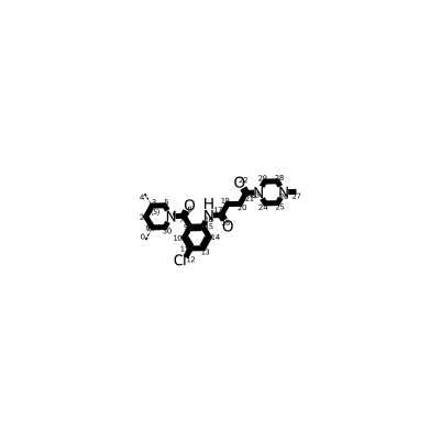 C[C@@H]1C[C@H](C)CN(C(=O)c2cc(Cl)ccc2NC(=O)CCC(=O)N2CCN(C)CC2)C1